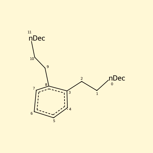 CCCCCCCCCCCCc1[c]cccc1CCCCCCCCCCCC